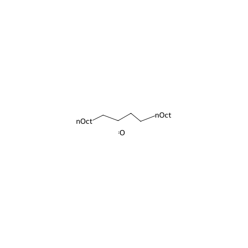 CCCCCCCCCCCCCCCCCCCC.[O]